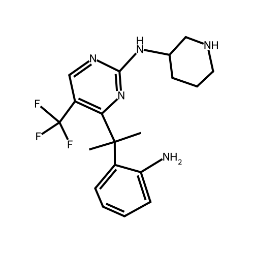 CC(C)(c1ccccc1N)c1nc(NC2CCCNC2)ncc1C(F)(F)F